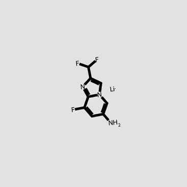 Nc1cc(F)c2nc(C(F)F)cn2c1.[Li]